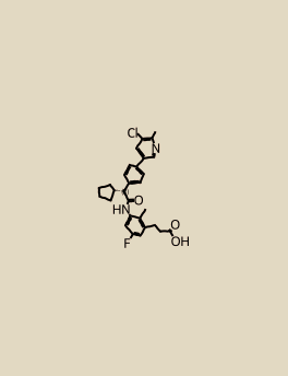 Cc1ncc(-c2ccc([C@H](C(=O)Nc3cc(F)cc(CCC(=O)O)c3C)C3CCCC3)cc2)cc1Cl